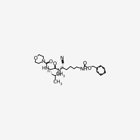 CC(C)C[C@H](NC(=O)N1CCOCC1)C(=O)N[C@H](C#N)CCCCNC(=O)OCc1ccccc1